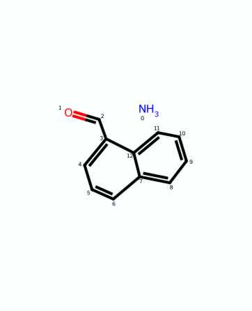 N.O=Cc1cccc2ccccc12